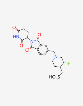 O=C1CCC(N2C(=O)c3ccc(CN4CCC(CS(=O)(=O)O)C(F)C4)cc3C2=O)C(=O)N1